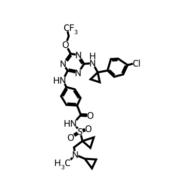 CN(CC1(S(=O)(=O)NC(=O)c2ccc(Nc3nc(NC4(c5ccc(Cl)cc5)CC4)nc(OCC(F)(F)F)n3)cc2)CC1)C1CC1